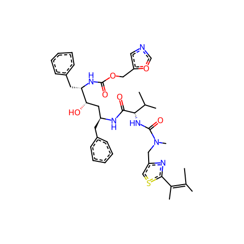 CC(C)=C(C)c1nc(CN(C)C(=O)N[C@H](C(=O)N[C@@H](Cc2ccccc2)C[C@H](O)[C@H](Cc2ccccc2)NC(=O)OCc2cnco2)C(C)C)cs1